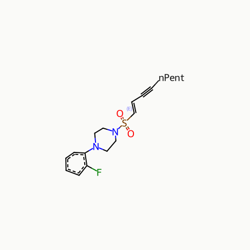 CCCCCC#C/C=C/S(=O)(=O)N1CCN(c2ccccc2F)CC1